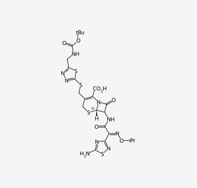 CC(C)ON=C(C(=O)NC1C(=O)N2C(C(=O)O)=C(CSc3nnc(CNC(=O)OC(C)(C)C)s3)CS[C@@H]12)c1nsc(N)n1